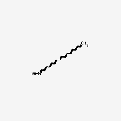 CCCCCCCCCCCCCCCCC=NC#N